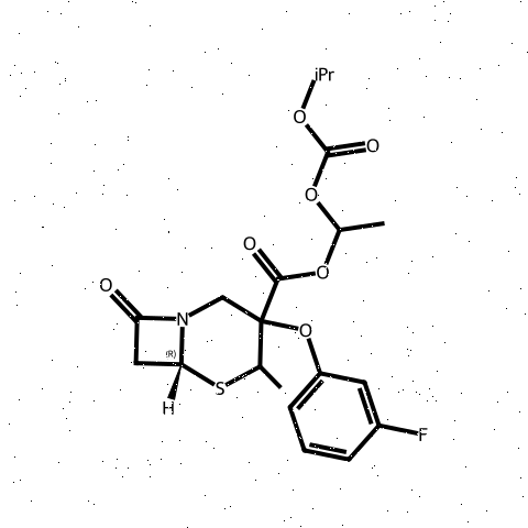 CC(C)OC(=O)OC(C)OC(=O)C1(Oc2cccc(F)c2)CN2C(=O)C[C@H]2SC1C